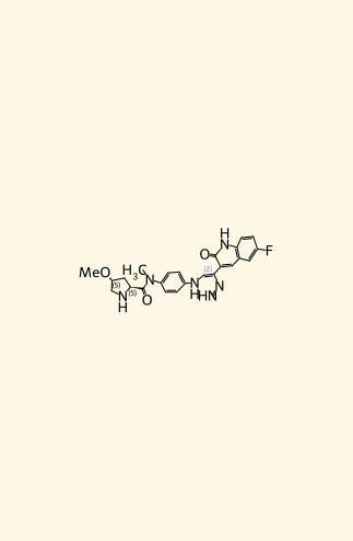 CO[C@@H]1CN[C@H](C(=O)N(C)c2ccc(N/C=C(\N=N)c3cc4cc(F)ccc4[nH]c3=O)cc2)C1